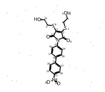 O=C1C(SCCO)=C(SCCO)C(=O)N1c1ccc(-c2ccc([N+](=O)[O-])cc2)cc1